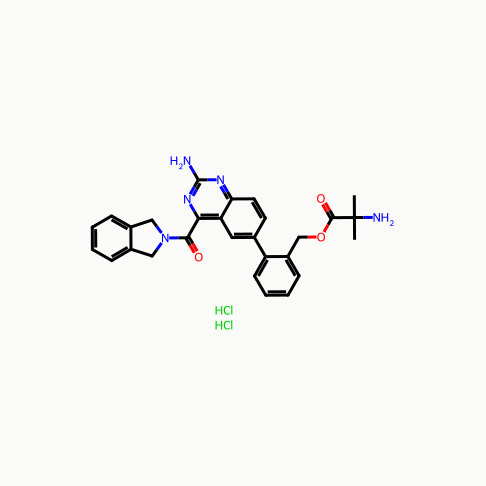 CC(C)(N)C(=O)OCc1ccccc1-c1ccc2nc(N)nc(C(=O)N3Cc4ccccc4C3)c2c1.Cl.Cl